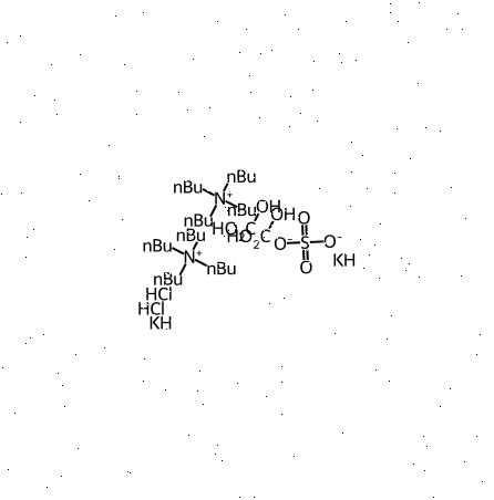 CCCC[N+](CCCC)(CCCC)CCCC.CCCC[N+](CCCC)(CCCC)CCCC.Cl.Cl.O=C(O)O.O=C(O)O.O=S(=O)([O-])[O-].[KH].[KH]